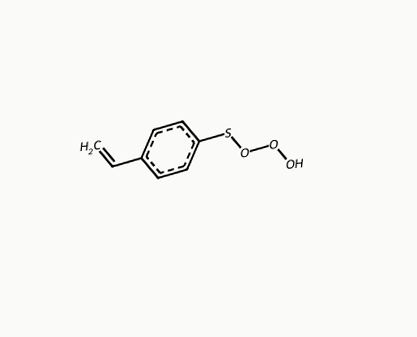 C=Cc1ccc(SOOO)cc1